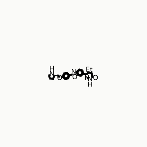 CCC1CC(=O)NN=C1c1ccc2nc(-c3ccc(OC[C@H]4CCCN4)cc3)oc2c1